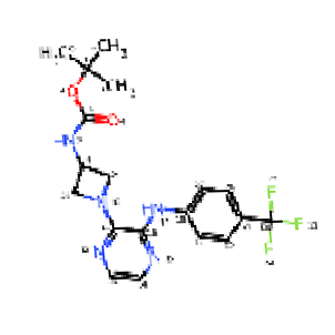 CC(C)(C)OC(=O)NC1CN(c2nccnc2Nc2ccc(C(F)(F)F)cc2)C1